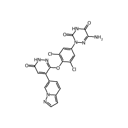 Nc1nn(-c2cc(Cl)c(Oc3n[nH]c(=O)cc3-c3ccc4ccnn4c3)c(Cl)c2)c(=O)[nH]c1=O